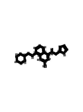 Clc1nc(NCc2ccco2)c2cccc(OCC3COCCO3)c2n1